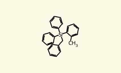 Cc1ccccc1[Si](Cc1ccccc1)(c1ccccc1)c1ccccc1